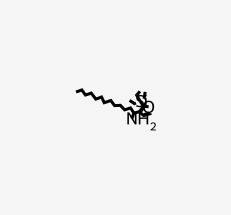 CCCCCCCCCCCCC(N)c1ccoc1[Si](CC)(CC)CC